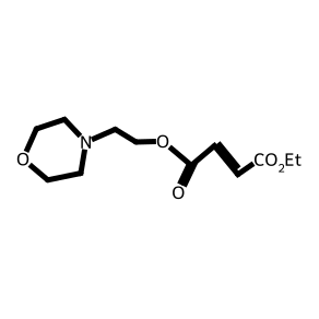 CCOC(=O)/C=C/C(=O)OCCN1CCOCC1